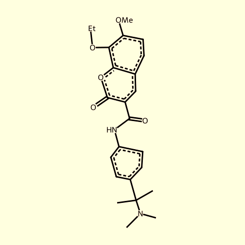 CCOc1c(OC)ccc2cc(C(=O)Nc3ccc(C(C)(C)N(C)C)cc3)c(=O)oc12